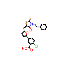 O=C(O)c1cc(-c2ccc(C=C3SC(=S)N(CCc4ccccc4)C3=O)o2)ccc1Cl